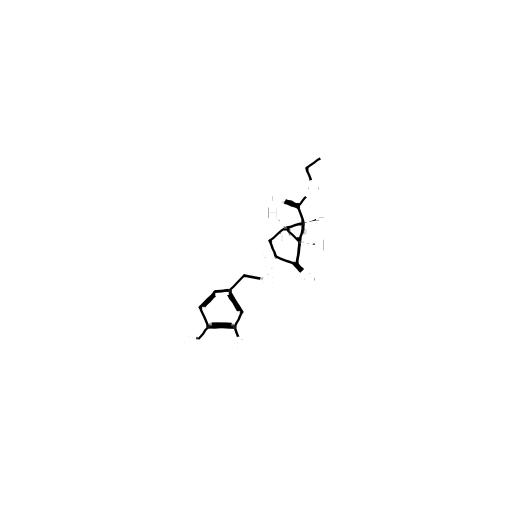 CCOC(=O)[C@@]1(F)[C@@H]2C[C@@H](OCc3ccc(Cl)c(Cl)c3)C(=O)[C@@H]21